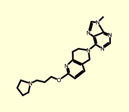 Cn1cnc2c(N3CCc4nc(OCCCN5CCCC5)ccc4C3)ncnc21